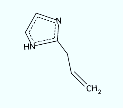 C=CCc1ncc[nH]1